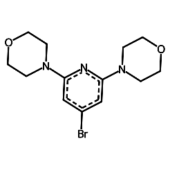 Brc1cc(N2CCOCC2)nc(N2CCOCC2)c1